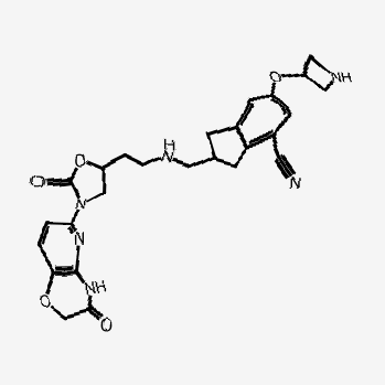 N#Cc1cc(OC2CNC2)cc2c1CC(CNCCC1CN(c3ccc4c(n3)NC(=O)CO4)C(=O)O1)C2